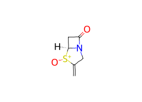 C=C1CN2C(=O)C[C@@H]2[S+]1[O-]